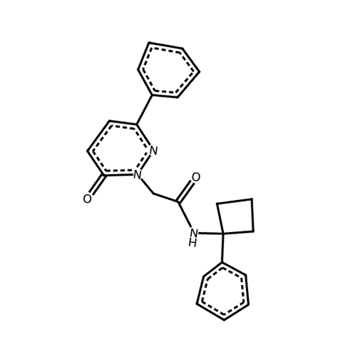 O=C(Cn1nc(-c2ccccc2)ccc1=O)NC1(c2ccccc2)CCC1